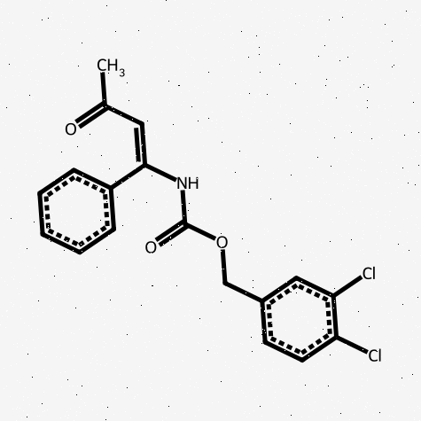 CC(=O)C=C(NC(=O)OCc1ccc(Cl)c(Cl)c1)c1ccccc1